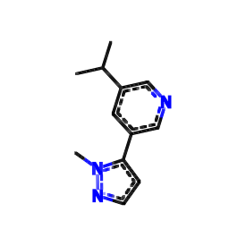 CC(C)c1cncc(-c2ccnn2C)c1